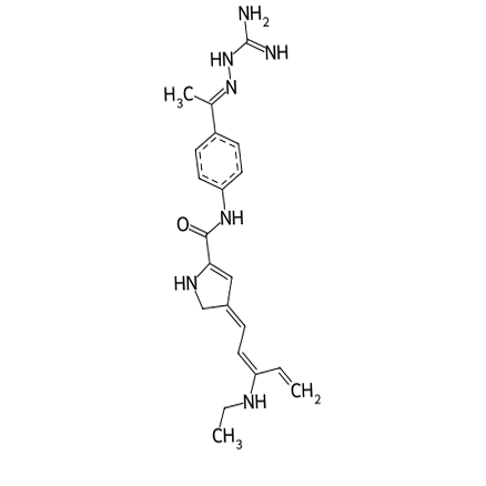 C=C/C(=C\C=C1\C=C(C(=O)Nc2ccc(/C(C)=N/NC(=N)N)cc2)NC1)NCC